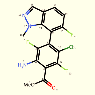 COC(=O)c1c(N)c(F)c(-c2c(F)ccc3cnn(C)c23)c(Cl)c1F